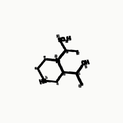 CC(O)C1CNCCN1C(C)S(=O)(=O)O